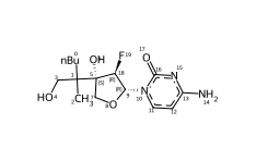 CCCCC(C)(CO)[C@]1(O)CO[C@@H](n2ccc(N)nc2=O)[C@@H]1F